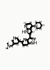 CN(C)Cc1cncc(-c2ccc3[nH]nc(-c4cc5c(N6CCCCC6)ccnc5[nH]4)c3n2)c1